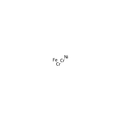 [Cr].[Cr].[Fe].[Ni]